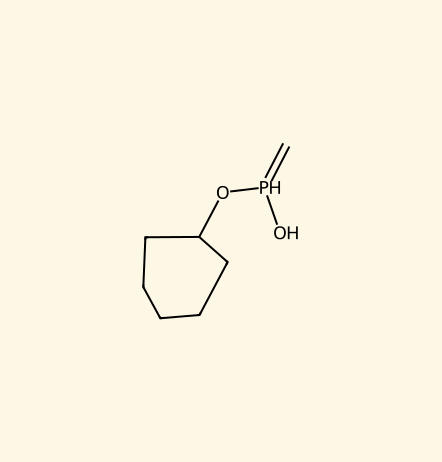 C=[PH](O)OC1CCCCC1